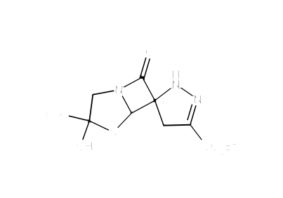 CCOC(=O)C1=NNC2(C1)C(=O)N1CC(C)(C)SC12